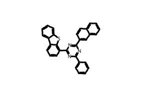 c1ccc(-c2nc(-c3ccc4ccccc4c3)nc(-c3cccc4c3sc3ccccc34)n2)cc1